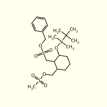 CC(C)(C)[Si](C)(C)OC1CCCC(COS(C)(=O)=O)C1CS(=O)(=O)OCc1ccccc1